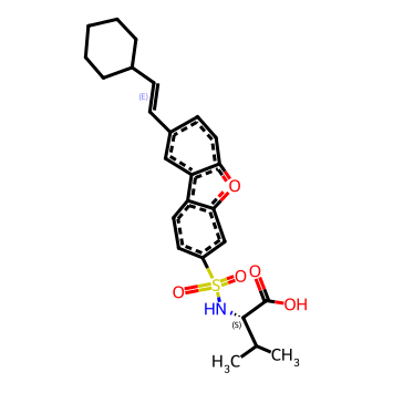 CC(C)[C@H](NS(=O)(=O)c1ccc2c(c1)oc1ccc(/C=C/C3CCCCC3)cc12)C(=O)O